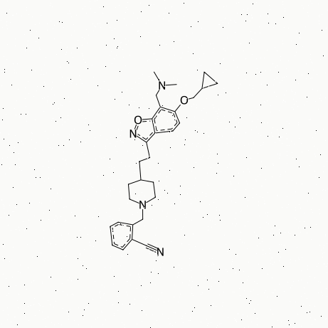 CN(C)Cc1c(OCC2CC2)ccc2c(CCC3CCN(Cc4ccccc4C#N)CC3)noc12